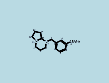 COc1cccc(CN2CCCN3CCCC32)c1